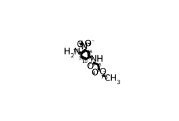 CCOC(=O)CC(=O)Nc1ccc(N)c([N+](=O)[O-])c1